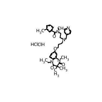 CCN1C(=O)C(C)(C)C(=O)N(C)c2cc(OCCCN(CCN(C)C(=O)c3cccc(C)c3)Cc3ccncc3)ccc21.Cl.Cl